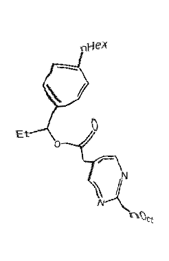 CCCCCCCCc1ncc(C(=O)OC(CC)c2ccc(CCCCCC)cc2)cn1